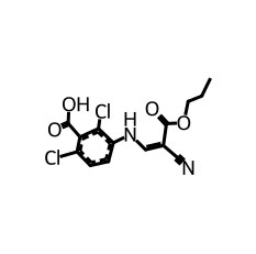 CCCOC(=O)C(C#N)=CNc1ccc(Cl)c(C(=O)O)c1Cl